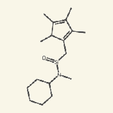 CC1=C(C)C(C)C(C[Si](=O)N(C)C2CCCCC2)=C1C